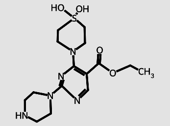 CCOC(=O)c1cnc(N2CCNCC2)nc1N1CCS(O)(O)CC1